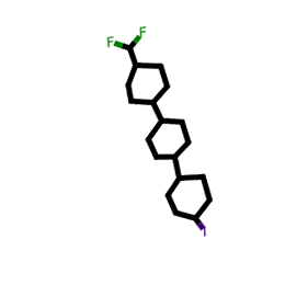 FC(F)C1CCC(C2CCC(C3CCC(I)CC3)CC2)CC1